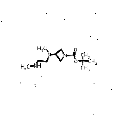 CNCCN(C)C1CN(C(=O)OC(C)(C)C)C1